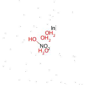 O.O.O.O=[N+]([O-])O.[In]